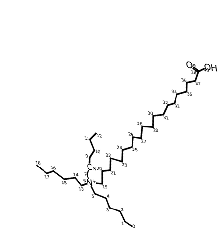 CCCCCC[N+](CCCCCC)(CCCCCC)CCCCCCCCCCCCCCCCCCCC(=O)O